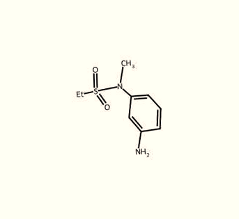 CCS(=O)(=O)N(C)c1cccc(N)c1